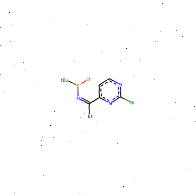 CC/C(=N/[S+]([O-])C(C)(C)C)c1ccnc(Br)n1